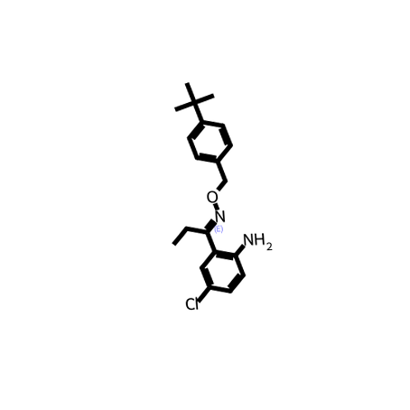 CC/C(=N\OCc1ccc(C(C)(C)C)cc1)c1cc(Cl)ccc1N